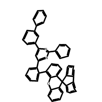 c1ccc(-c2cccc(-c3cc(-c4ccccc4-c4cccc5c4Oc4ccccc4C54c5ccccc5-c5ccccc54)nc(-c4ccccc4)n3)c2)cc1